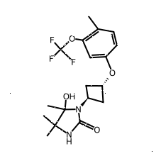 Cc1ccc(O[C@H]2C[C@H](N3C(=O)NC(C)(C)C3(C)O)C2)cc1OC(F)(F)F